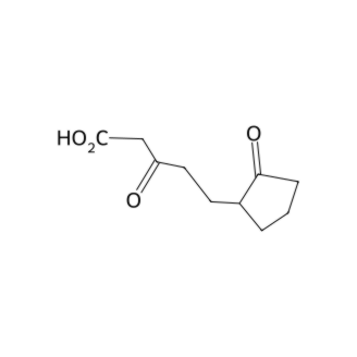 O=C(O)CC(=O)CCC1CCCC1=O